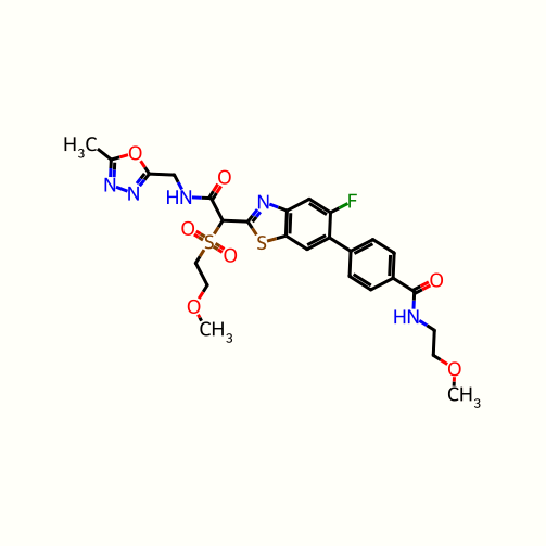 COCCNC(=O)c1ccc(-c2cc3sc(C(C(=O)NCc4nnc(C)o4)S(=O)(=O)CCOC)nc3cc2F)cc1